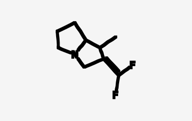 CC1C(=C(F)F)CN2CCCC12